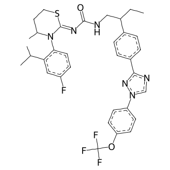 CCC(CNC(=O)/N=C1\SCCC(C)N1c1ccc(F)cc1C(C)C)c1ccc(-c2ncn(-c3ccc(OC(F)(F)F)cc3)n2)cc1